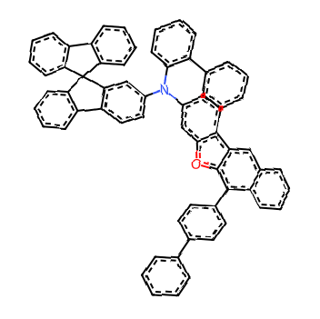 c1ccc(-c2ccc(-c3c4ccccc4cc4c3oc3cc(N(c5ccc6c(c5)C5(c7ccccc7-c7ccccc75)c5ccccc5-6)c5ccccc5-c5ccccc5)ccc34)cc2)cc1